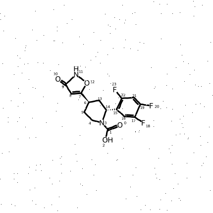 O=C(O)N1CC[C@@H](c2cc(=O)[nH]o2)C[C@@H]1c1cc(F)c(F)cc1F